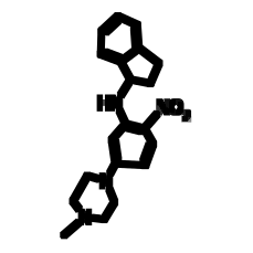 CN1CCN(c2ccc([N+](=O)[O-])c(NC3CCc4ccccc43)c2)CC1